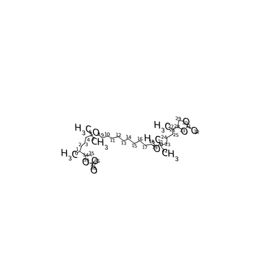 CC(CCCC(C)(C)OCCCCCCCCCCOC(C)(C)CCCC(C)C1COC(=O)O1)C1COC(=O)O1